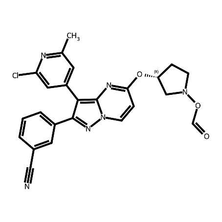 Cc1cc(-c2c(-c3cccc(C#N)c3)nn3ccc(O[C@@H]4CCN(OC=O)C4)nc23)cc(Cl)n1